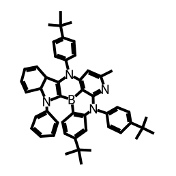 Cc1cc2c3c(n1)N(c1ccc(C(C)(C)C)cc1)c1cc(C(C)(C)C)ccc1B3C1=C(C3C=CC=CC3N1c1ccccc1)N2c1ccc(C(C)(C)C)cc1